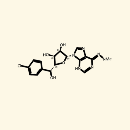 CNN=c1nc[nH]c2c1ncn2[C@@H]1O[C@H](C(O)c2ccc(Cl)cc2)[C@@H](O)[C@H]1O